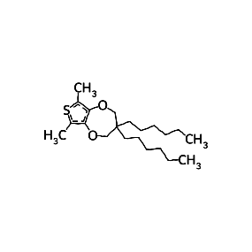 CCCCCCC1(CCCCCC)COc2c(C)sc(C)c2OC1